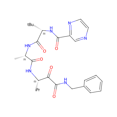 CC(C)[C@H](NC(=O)[C@H](C)NC(=O)[C@@H](NC(=O)c1cnccn1)C(C)(C)C)C(=O)C(=O)NCc1ccccc1